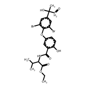 CCOC(=O)C(NC(=O)c1cc(Oc2c(Br)cc(C(C)(O)[PH2]=O)cc2Br)ccc1O)C(C)C